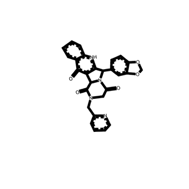 O=C1C2c3c([nH]c4ccccc4c3=O)C(c3ccc4c(c3)OCO4)N2C(=O)CN1Cc1ccccn1